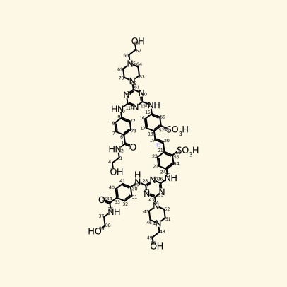 O=C(NCCO)c1ccc(Nc2nc(Nc3ccc(/C=C/c4ccc(Nc5nc(Nc6ccc(C(=O)NCCO)cc6)nc(N6CCN(CCO)CC6)n5)cc4S(=O)(=O)O)c(S(=O)(=O)O)c3)nc(N3CCN(CCO)CC3)n2)cc1